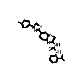 Cc1ccc(-n2cnc(-c3ccc4nc(NC(=S)Nc5ccccc5C(C)C)cnc4c3)n2)cc1